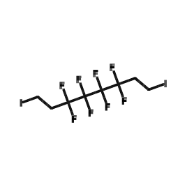 FC(F)(CCI)C(F)(F)C(F)(F)C(F)(F)CCI